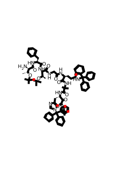 C[C@@H](OC(C)(C)C)[C@H](N)C(=O)N[C@@H](Cc1ccccc1)C(=O)N[C@H](C(=O)NCC(=O)N[C@@H](CCC(=O)NC(c1ccccc1)(c1ccccc1)c1ccccc1)C(=O)NC(C)(C)C(=O)N[C@@H](Cc1cn(C(c2ccccc2)(c2ccccc2)c2ccccc2)cn1)C(=O)C(=O)OC(C)(C)C)[C@@H](C)OC(C)(C)C